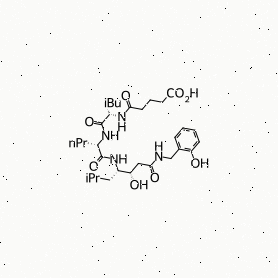 CCC[C@H](NC(=O)[C@@H](NC(=O)CCCC(=O)O)[C@@H](C)CC)C(=O)N[C@@H](CC(C)C)[C@@H](O)CC(=O)NCc1ccccc1O